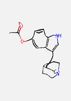 CC(=O)Oc1ccc2[nH]cc(C3CN4CCC3CC4)c2c1